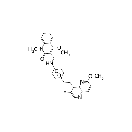 COc1ccc2ncc(F)c(CCC34CCC(NCc5c(OC)c6ccccc6n(C)c5=O)(CC3)CO4)c2n1